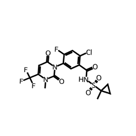 Cn1c(C(F)(F)F)cc(=O)n(-c2cc(C(=O)NS(=O)(=O)C3(C)CC3)c(Cl)cc2F)c1=O